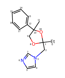 CCC1(Cn2ccnc2)OCC(C)(c2ccccc2)O1